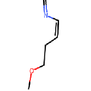 C=N/C=C\CCOC